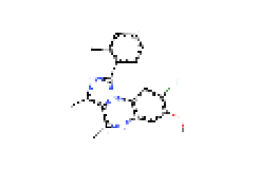 COc1cc2nc(C)c3c(C)nc(-c4ccccc4C)n3c2cc1Cl